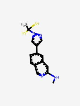 BC(S)(S)n1cc(-c2ccc3cnc(NC)cc3c2)cn1